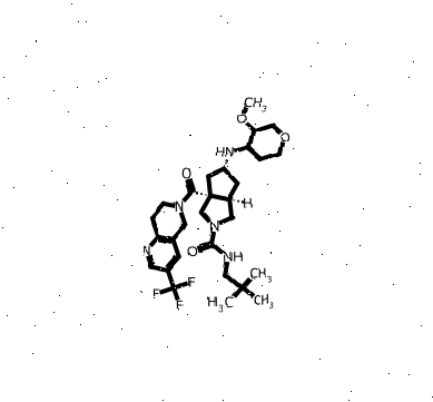 COC1COCCC1N[C@@H]1C[C@H]2CN(C(=O)NCC(C)(C)C)C[C@@]2(C(=O)N2CCc3ncc(C(F)(F)F)cc3C2)C1